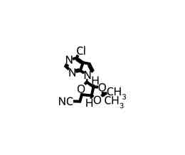 CC1(C)O[C@@H]2[C@H](O1)C(CC#N)O[C@H]2n1ccc2c(Cl)ncnc21